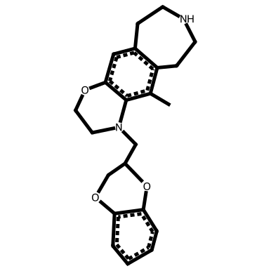 Cc1c2c(cc3c1N(CC1COc4ccccc4O1)CCO3)CCNCC2